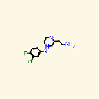 NCCC1CN(Nc2ccc(F)c(Cl)c2)CC[N]1